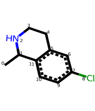 CC1NCCc2cc(Cl)ccc21